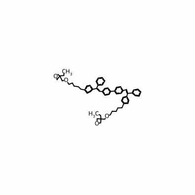 CCC1(COCCCCCc2ccc(C(=Cc3ccc(-c4ccc(C=C(c5ccccc5)c5ccc(CCCCCOCC6(CC)COC6)cc5)cc4)cc3)c3ccccc3)cc2)COC1